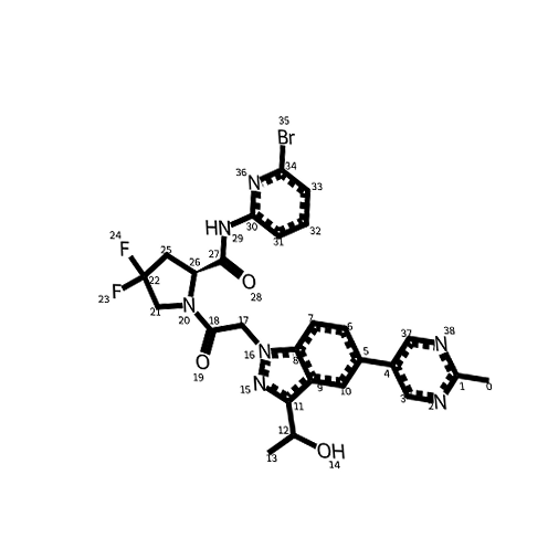 Cc1ncc(-c2ccc3c(c2)c(C(C)O)nn3CC(=O)N2CC(F)(F)C[C@H]2C(=O)Nc2cccc(Br)n2)cn1